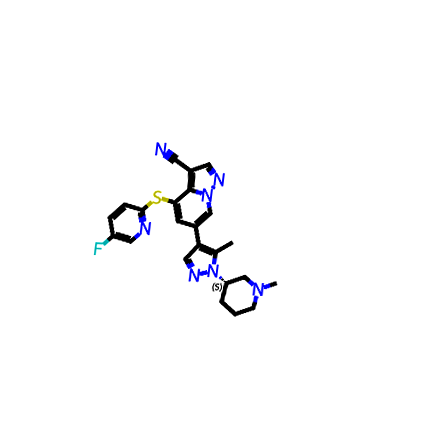 Cc1c(-c2cc(Sc3ccc(F)cn3)c3c(C#N)cnn3c2)cnn1[C@H]1CCCN(C)C1